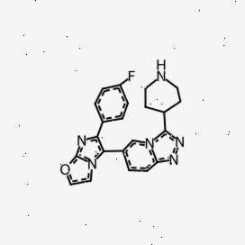 Fc1ccc(-c2nc3occn3c2-c2ccc3nnc(C4CCNCC4)n3c2)cc1